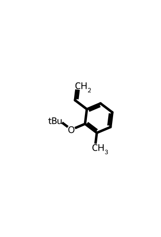 C=Cc1cccc(C)c1OC(C)(C)C